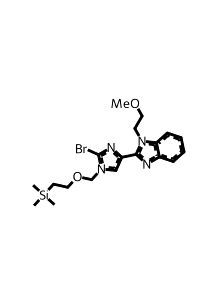 COCCn1c(-c2cn(COCC[Si](C)(C)C)c(Br)n2)nc2ccccc21